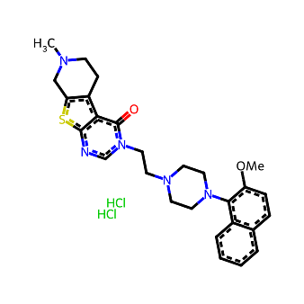 COc1ccc2ccccc2c1N1CCN(CCn2cnc3sc4c(c3c2=O)CCN(C)C4)CC1.Cl.Cl